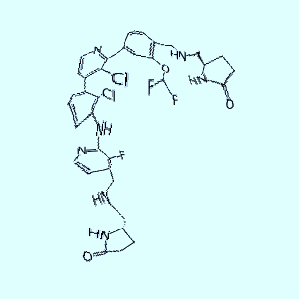 O=C1CC[C@H](CNCc2ccc(-c3nccc(-c4cccc(Nc5nccc(CNC[C@@H]6CCC(=O)N6)c5F)c4Cl)c3Cl)cc2OC(F)F)N1